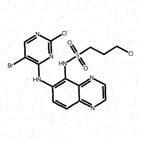 O=S(=O)(CCCCl)Nc1c(Nc2nc(Cl)ncc2Br)ccc2nccnc12